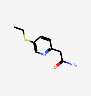 CCSc1ccc(CC(N)=O)nc1